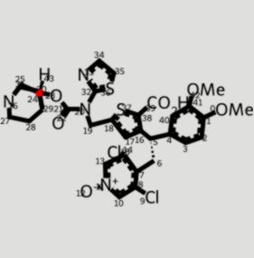 COc1ccc([C@H](Cc2c(Cl)c[n+]([O-])cc2Cl)c2cc(CN(C(=O)O[C@H]3CN4CCC3CC4)c3nccs3)sc2C(=O)O)cc1OC